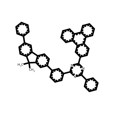 CC1(C)c2ccc(-c3ccccc3)cc2-c2ccc(-c3cccc(-c4nc(-c5ccccc5)nc(-c5ccc6c7ccccc7c7ccccc7c6c5)n4)c3)cc21